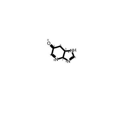 O=C1[CH]C2NC=NC2N=C1